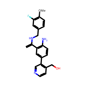 C=C(NCc1ccc(OC)c(F)c1)c1cc(-c2cnccc2CO)ccc1N